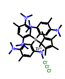 CC1=C(C)[C]([Ti+3])([Si](c2cc(N(C)C)c(C)cc2N(C)C)(c2cc(N(C)C)c(C)cc2N(C)C)c2cc(N(C)C)c(C)cc2N(C)C)C(C)=C1C.[Cl-].[Cl-].[Cl-]